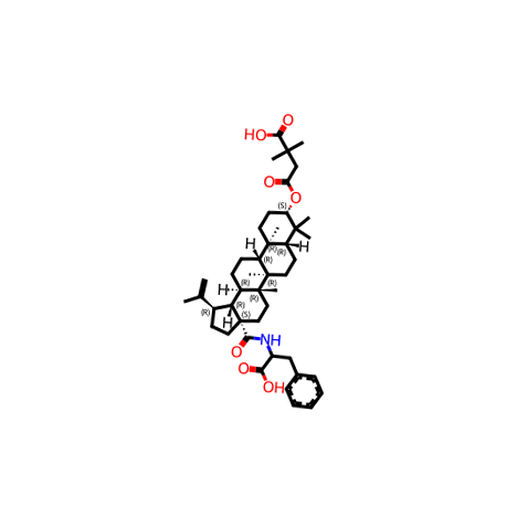 C=C(C)[C@@H]1CC[C@]2(C(=O)NC(Cc3ccccc3)C(=O)O)CC[C@]3(C)[C@H](CC[C@@H]4[C@@]5(C)CC[C@H](OC(=O)CC(C)(C)C(=O)O)C(C)(C)[C@@H]5CC[C@]43C)[C@@H]12